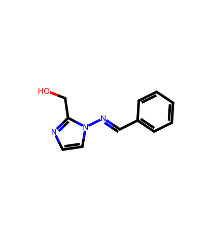 OCc1nccn1/N=C/c1ccccc1